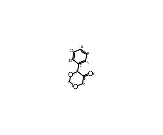 O=C1COCOC1c1ccccc1